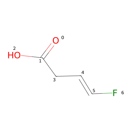 O=C(O)C/C=C/F